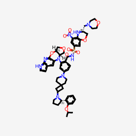 CC(C)Oc1ccccc1[C@@H]1CCCN1C1CC2(CCN(c3ccc(C(=O)NS(=O)(=O)c4cc5c(c([N+](=O)[O-])c4)N[C@H](CN4CCOCC4)CO5)c(N4c5cc6cc[nH]c6nc5O[C@@H]5COC[C@H]54)c3)CC2)C1